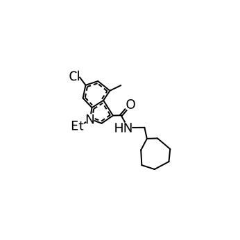 CCn1cc(C(=O)NCC2CCCCCC2)c2c(C)cc(Cl)cc21